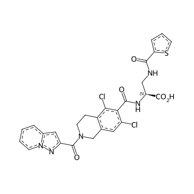 O=C(NC[C@H](NC(=O)c1c(Cl)cc2c(c1Cl)CCN(C(=O)c1cc3ccccn3n1)C2)C(=O)O)c1cccs1